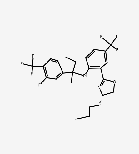 CCCC[C@H]1COC(c2cc(C(F)(F)F)ccc2PC(C)(CC)c2ccc(C(F)(F)F)c(F)c2)=N1